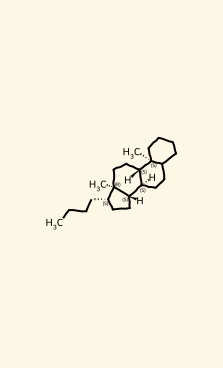 CCCC[C@H]1CC[C@H]2[C@@H]3CCC4CCCC[C@]4(C)[C@H]3CC[C@]12C